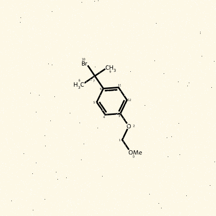 COCOc1ccc(C(C)(C)Br)cc1